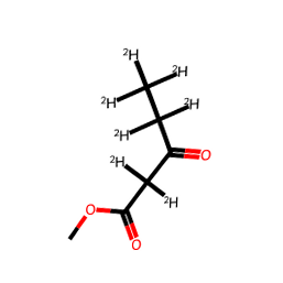 [2H]C([2H])(C(=O)OC)C(=O)C([2H])([2H])C([2H])([2H])[2H]